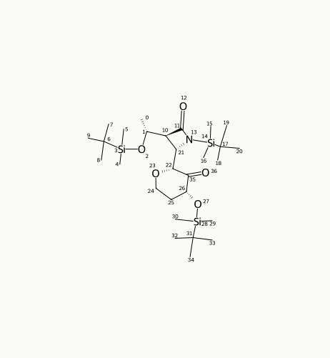 C[C@@H](O[Si](C)(C)C(C)(C)C)[C@H]1C(=O)N([Si](C)(C)C(C)(C)C)[C@@H]1[C@H]1OCC[C@@H](O[Si](C)(C)C(C)(C)C)C1=O